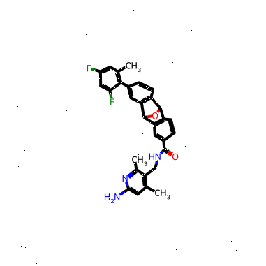 Cc1cc(N)nc(C)c1CNC(=O)c1ccc2c(c1)C1OC2c2ccc(-c3c(C)cc(F)cc3F)cc21